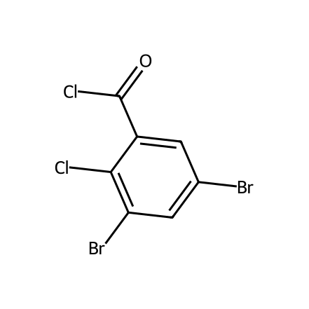 O=C(Cl)c1cc(Br)cc(Br)c1Cl